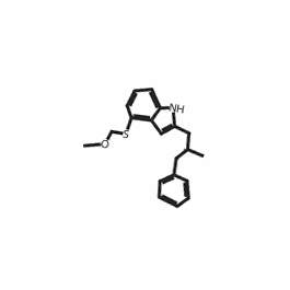 COCSc1cccc2[nH]c(C[C](C)Cc3ccccc3)cc12